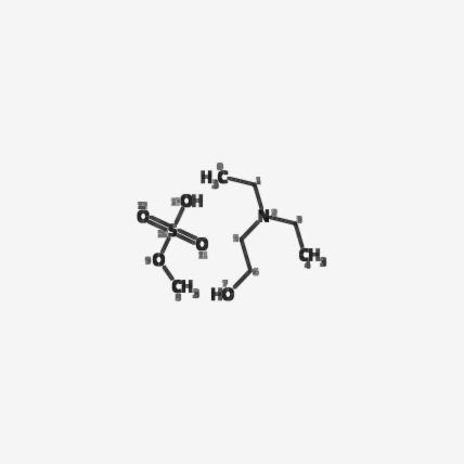 CCN(CC)CCO.COS(=O)(=O)O